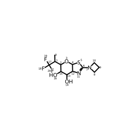 CC(C1OC2SC(N3CCC3)=NC2C(O)C1O)C(F)(F)F